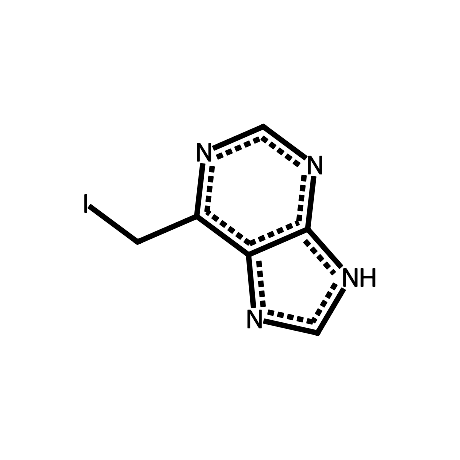 ICc1ncnc2[nH]cnc12